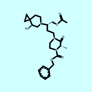 CC(=O)OC[C@H](CCN1CCN(C(=O)OCc2ccccc2)[C@@H](C)C1=O)N1CCC2(CC2)[C@H](O)C1